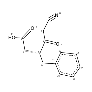 N#CCC(=O)[C@@H](CC(=O)O)Cc1ccccc1